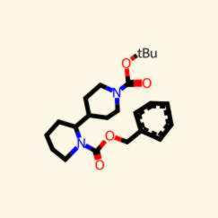 CC(C)(C)OC(=O)N1CCC(C2CCCCN2C(=O)OCc2ccccc2)CC1